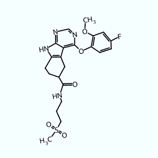 COc1cc(F)ccc1Oc1ncnc2[nH]c3c(c12)CC(C(=O)NCCCS(C)(=O)=O)CC3